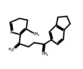 C=C(CCC(=C)c1ccc2c(c1)CCC2)C1=C(C)CCC=N1